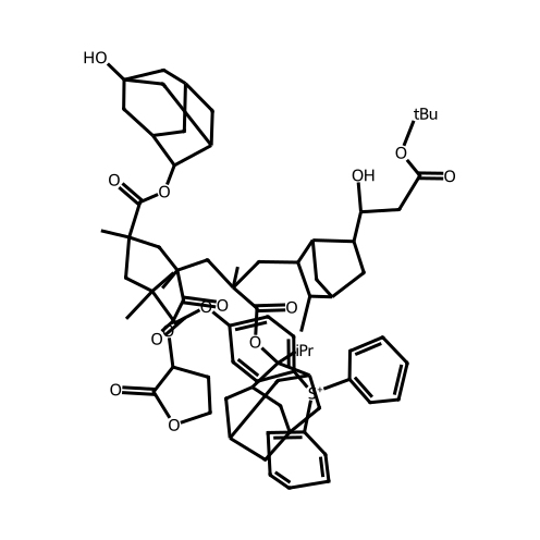 CC1C2CC(C(O)CC(=O)OC(C)(C)C)C(C2)C1CC(C)(CC(C)(CC(C)(CC(C)(C)C(=O)Oc1ccc([S+](c2ccccc2)c2ccccc2)cc1)C(=O)OC1C2CC3CC1CC(O)(C3)C2)C(=O)OC1CCOC1=O)C(=O)OC1(C(C)C)C2CC3CC(C2)CC1C3